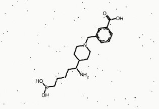 NC(CCCCB(O)O)C1CCN(Cc2cccc(C(=O)O)c2)CC1